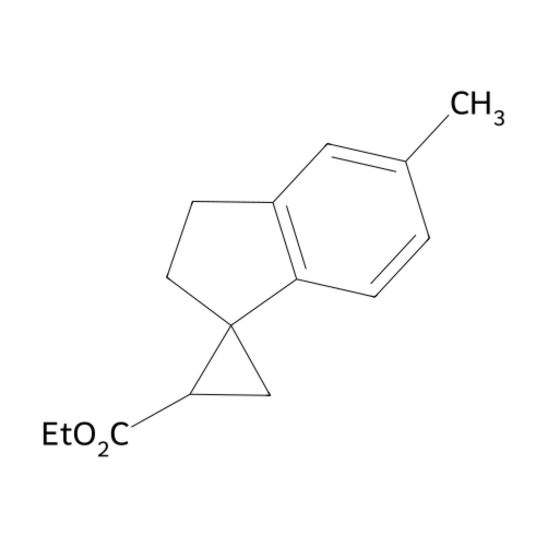 CCOC(=O)C1CC12CCc1cc(C)ccc12